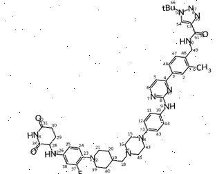 Cc1cc(-c2ccnc(Nc3ccc(N4CCN(CC5CCN(c6ccc(NC7CCC(=O)NC7=O)cc6F)CC5)CC4)cc3)n2)ccc1CNC(=O)c1cn(C(C)(C)C)nn1